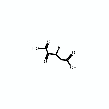 O=C(O)CC(Br)C(=O)C(=O)O